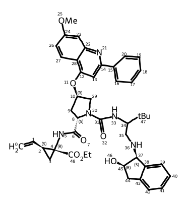 C=C[C@@H]1C[C@]1(NC(=O)[C@@H]1C[C@@H](Oc2cc(-c3ccccc3)nc3cc(OC)ccc23)CN1C(=O)NC(CN[C@H]1c2ccccc2C[C@H]1O)C(C)(C)C)C(=O)OCC